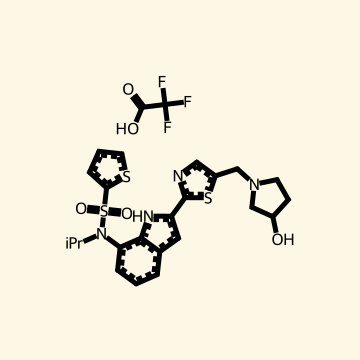 CC(C)N(c1cccc2cc(-c3ncc(CN4CCC(O)C4)s3)[nH]c12)S(=O)(=O)c1cccs1.O=C(O)C(F)(F)F